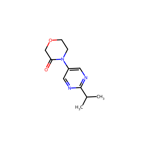 CC(C)c1ncc(N2CCOCC2=O)cn1